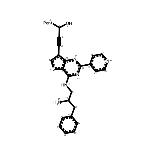 CCCC(C)C(O)C#Cc1csc2c(NCC(N)Cc3ccccc3)nc(-c3ccncc3)nc12